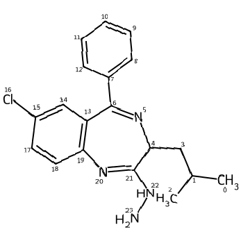 CC(C)CC1N=C(c2ccccc2)c2cc(Cl)ccc2N=C1NN